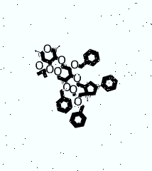 COC(OC1C(OCc2ccccc2)[C@H](OC2C3OC(C)(C)OC3[C@H](C)O[C@@H]2C)OC[C@H]1OCc1ccccc1)C1C[C@H](c2ccccc2)C[C@@]1(C)COCc1ccccc1